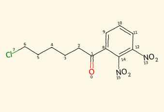 O=C(CCCCCCl)c1cccc([N+](=O)[O-])c1[N+](=O)[O-]